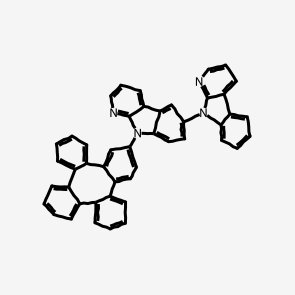 c1ccc2c(c1)-c1ccccc1-c1ccc(-n3c4ccc(-n5c6ccccc6c6cccnc65)cc4c4cccnc43)cc1-c1ccccc1-2